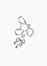 O=S(=O)(Oc1cccc2c1-c1ccccc1Oc1ccccc1-2)C(F)(F)F